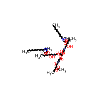 C=[N+](CCCCCCCCCCCC)CC(=O)OC(CCCCC)C(O)C/C=C/CC(=O)OC(COC(=O)C/C=C/CC(O)C(CCCCC)OC(C)=O)COC(=O)C/C=C/CC(O)C(CCCCC)OC(=O)C[N+](C)(C)CCCCCCCCCCCC